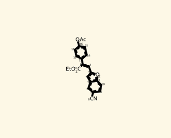 CCOC(=O)/C(=C\c1cc2cc(C#N)ccc2o1)c1ccc(OC(C)=O)cc1